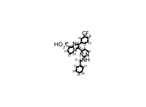 C[C@H](Nc1nccc(-c2c(-c3cccc(C(F)(F)F)c3)nc3c(C(=O)O)cccn23)n1)c1ccccc1